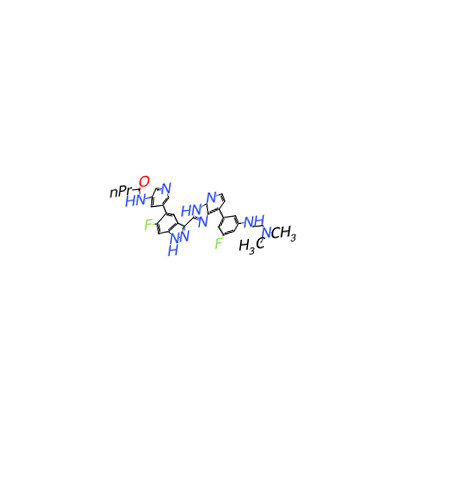 CCCC(=O)Nc1cncc(-c2cc3c(-c4nc5c(-c6cc(F)cc(NCCN(C)C)c6)ccnc5[nH]4)n[nH]c3cc2F)c1